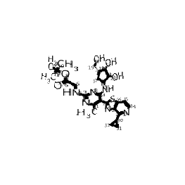 Cc1nc(NCC(=O)OC(C)(C)C)nc(N[C@@H]2C[C@H](CO)[C@@H](O)[C@H]2O)c1-c1nc2c(C3CC3)nccc2s1